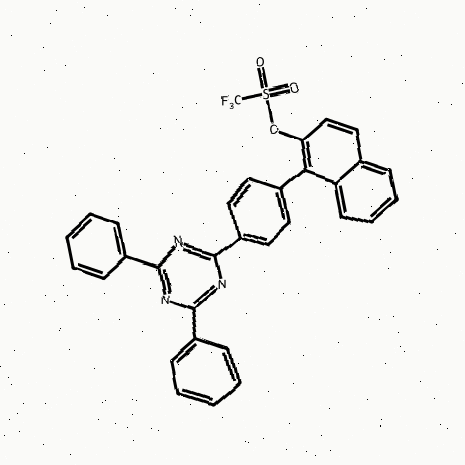 O=S(=O)(Oc1ccc2ccccc2c1-c1ccc(-c2nc(-c3ccccc3)nc(-c3ccccc3)n2)cc1)C(F)(F)F